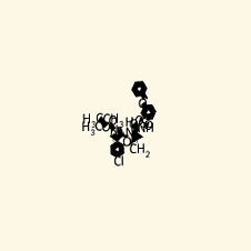 C=C[C@@H]1C[C@]1(NC(=O)[C@@H]1CN(C(=O)OC(C)(C)C)C[C@H]1c1ccc(Cl)cc1)C(=O)NS(=O)(=O)c1cccc(OCc2ccccc2)c1